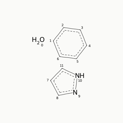 O.c1ccccc1.c1cn[nH]c1